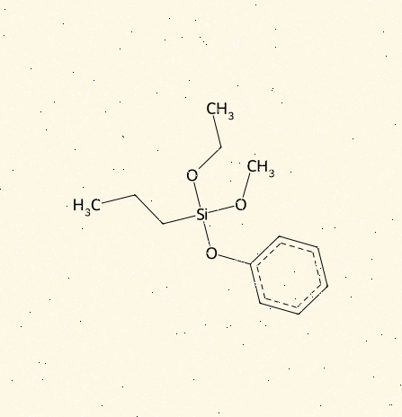 CCC[Si](OC)(OCC)Oc1ccccc1